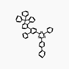 c1ccc(-c2ccc(-c3nc(-c4ccccc4)nc(-c4ccc(-c5cccc6c5-c5ccccc5C6(c5ccccc5)c5ccccc5)c(-c5ccccc5)c4)n3)cc2)cc1